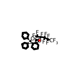 O=S(=O)(OS(c1ccccc1)(c1ccccc1)c1ccccc1)C(F)(F)C(F)(F)C(F)(F)C(F)(F)C(F)(F)F